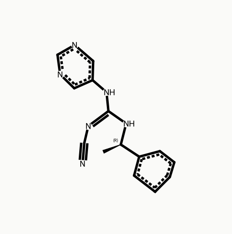 C[C@@H](NC(=NC#N)Nc1cncnc1)c1ccccc1